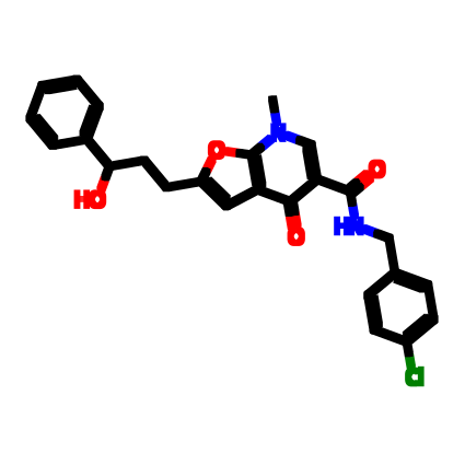 Cn1cc(C(=O)NCc2ccc(Cl)cc2)c(=O)c2cc(CCC(O)c3ccccc3)oc21